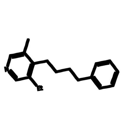 CCc1cncc(C)c1CCCCc1ccccc1